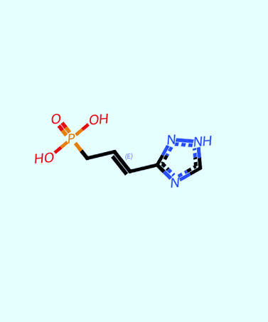 O=P(O)(O)C/C=C/c1nc[nH]n1